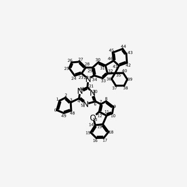 c1ccc(-c2nc(-c3cccc4c3oc3ccccc34)nc(-n3c4ccccc4c4cc5c(cc43)C3(CCCCC3)c3ccccc3-5)n2)cc1